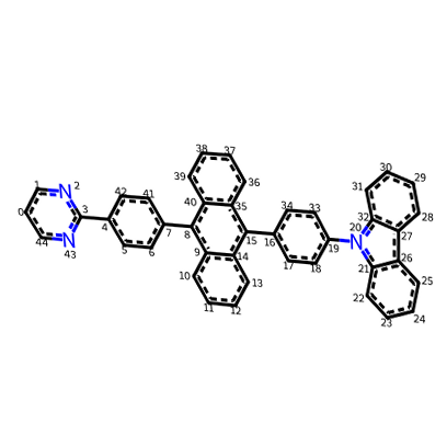 c1cnc(-c2ccc(-c3c4ccccc4c(-c4ccc(-n5c6ccccc6c6ccccc65)cc4)c4ccccc34)cc2)nc1